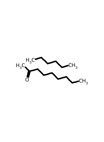 CCCCCC.CCCCCCCC(C)=O